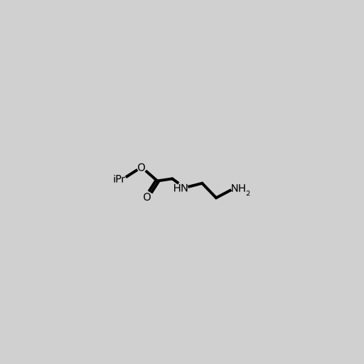 CC(C)OC(=O)CNCCN